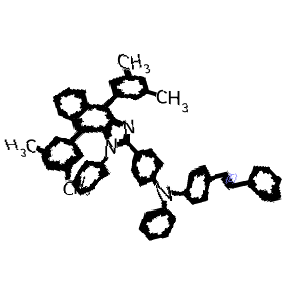 Cc1cc(C)cc(-c2c3ccccc3c(-c3cc(C)cc(C)c3)c3c2nc(-c2ccc(N(c4ccccc4)c4ccc(/C=C/c5ccccc5)cc4)cc2)n3-c2ccccc2)c1